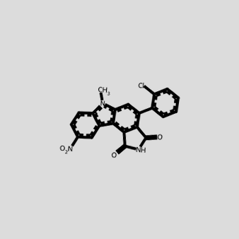 Cn1c2ccc([N+](=O)[O-])cc2c2c3c(c(-c4ccccc4Cl)cc21)C(=O)NC3=O